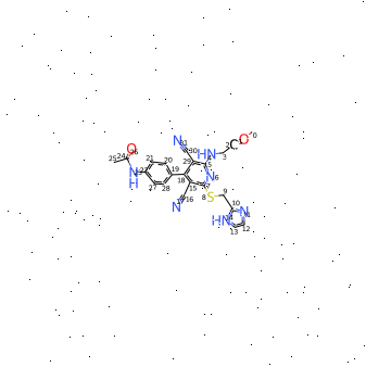 COCCNc1nc(SCc2ncc[nH]2)c(C#N)c(-c2ccc(NC(C)=O)cc2)c1C#N